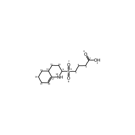 O=C(O)CCCS(=O)(=O)C1CCC2CCCC=C2N1